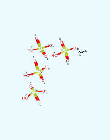 O=S(=O)([O-])O.O=S(=O)([O-])O.O=S(=O)([O-])O.O=S(=O)([O-])O.[Mo+4]